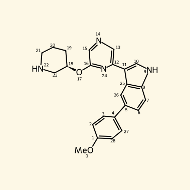 COc1ccc(-c2ccc3[nH]cc(-c4cncc(O[C@@H]5CCCNC5)n4)c3c2)cc1